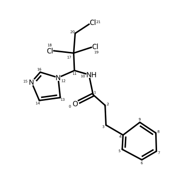 O=C(CCc1ccccc1)NC(n1ccnc1)C(Cl)(Cl)CCl